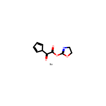 O=C(OC1=NCCO1)C(=O)[C]1C=CC=C1.[Ru]